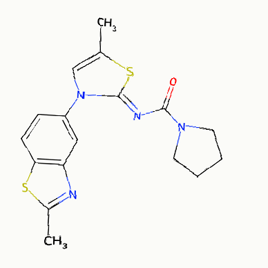 Cc1cn(-c2ccc3sc(C)nc3c2)/c(=N/C(=O)N2CCCC2)s1